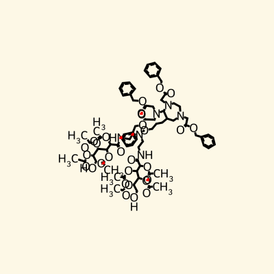 CC(=O)OC(CO)C(OC(C)=O)C(OC(C)=O)C(OC(C)=O)C(=O)NCCN(CCNC(=O)C(OC(C)=O)C(OC(C)=O)C(OC(C)=O)C(CO)OC(C)=O)OCCCC1CN(CC(=O)OCc2ccccc2)CCN(CC(=O)OCc2ccccc2)C1N(CC(=O)OCc1ccccc1)CC(=O)OCc1ccccc1